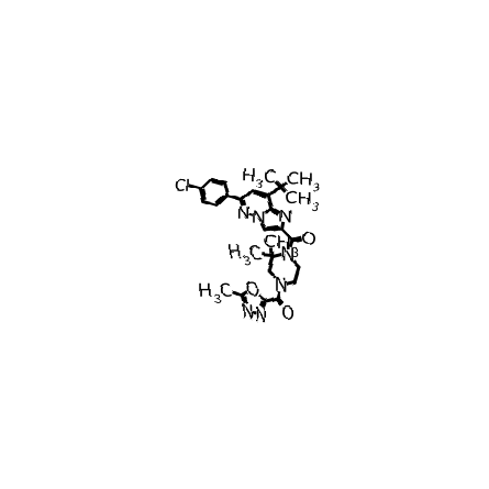 Cc1nnc(C(=O)N2CCN(C(=O)c3cn4nc(-c5ccc(Cl)cc5)cc(C(C)(C)C)c4n3)C(C)(C)C2)o1